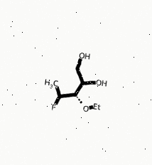 CCO[C@H](C(C)F)C(O)CO